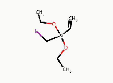 C=C[Si](CI)(OCC)OCC